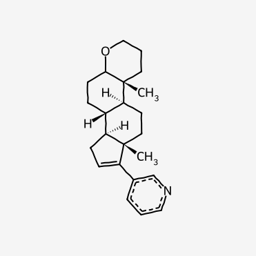 C[C@]12CCCOC1CC[C@@H]1[C@@H]2CC[C@]2(C)C(c3cccnc3)=CC[C@@H]12